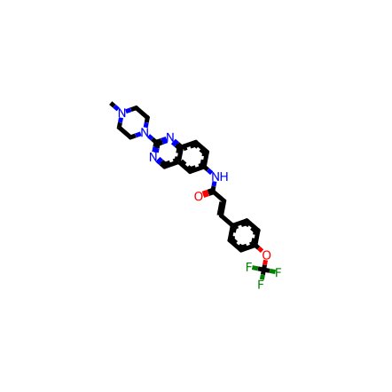 CN1CCN(c2ncc3cc(NC(=O)C=Cc4ccc(OC(F)(F)F)cc4)ccc3n2)CC1